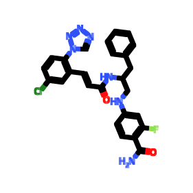 NC(=O)c1ccc(NCC(Cc2ccccc2)NC(=O)/C=C/c2cc(Cl)ccc2-n2cnnn2)cc1F